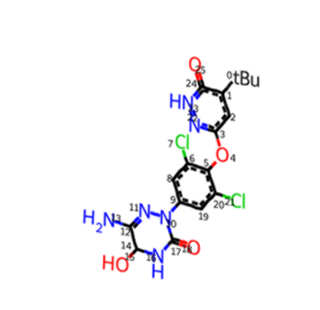 CC(C)(C)c1cc(Oc2c(Cl)cc(N3N=C(N)C(O)NC3=O)cc2Cl)n[nH]c1=O